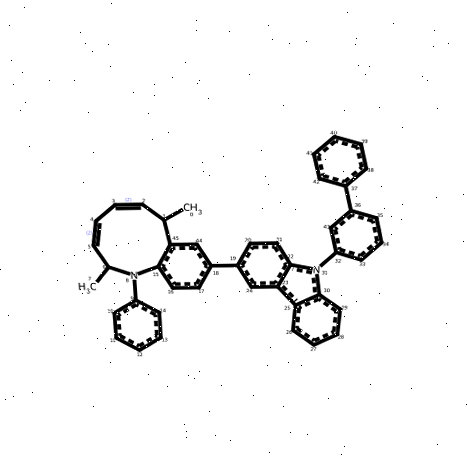 CC1/C=C\C=C/C(C)N(c2ccccc2)c2ccc(-c3ccc4c(c3)c3ccccc3n4-c3cccc(-c4ccccc4)c3)cc21